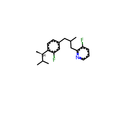 CC(Cc1ccc([C@H](C)C(C)C)c(F)c1)Cc1ncccc1F